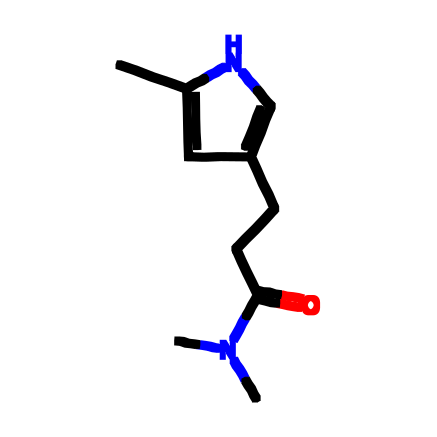 Cc1cc(CCC(=O)N(C)C)c[nH]1